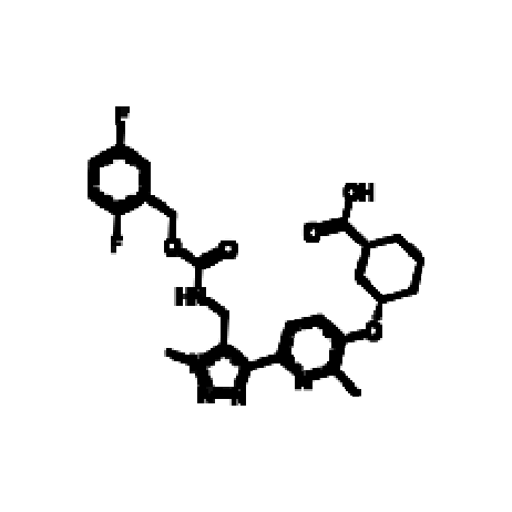 Cc1nc(-c2nnn(C)c2CNC(=O)OCc2cc(F)ccc2F)ccc1O[C@H]1CCCC(C(=O)O)C1